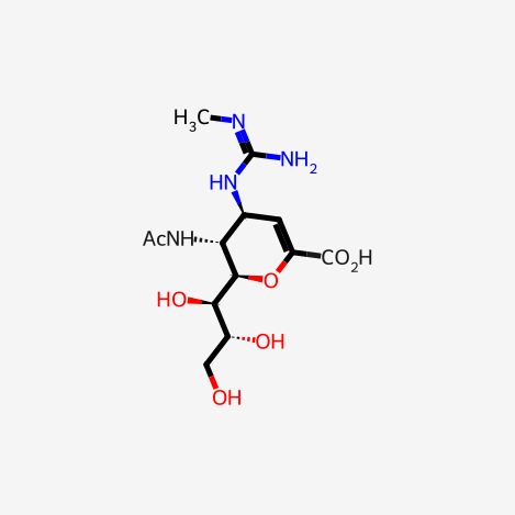 C/N=C(/N)N[C@H]1C=C(C(=O)O)O[C@@H]([C@H](O)[C@H](O)CO)[C@@H]1NC(C)=O